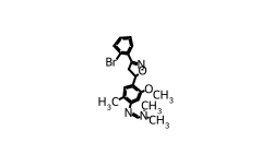 COc1cc(/N=C\N(C)C)c(C)cc1C1CC(c2ccccc2Br)=NO1